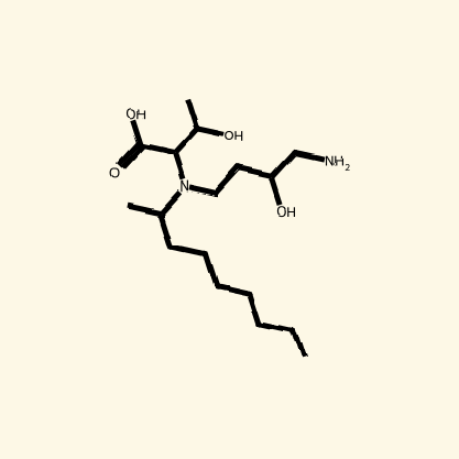 CCCCCCCC(C)N(CCC(O)CN)C(C(=O)O)C(C)O